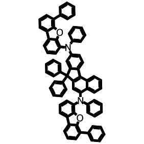 c1ccc(-c2cccc3c2oc2c(N(c4ccccc4)c4ccc5c(c4)C(c4ccccc4)(c4ccccc4)c4cc(N(c6ccccc6)c6cccc7c6oc6c(-c8ccccc8)cccc67)c6ccccc6c4-5)cccc23)cc1